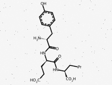 CC(C)C[C@H](NC(=O)[C@@H](CCC(=O)O)NC(=O)[C@H](N)Cc1ccc(O)cc1)C(=O)O